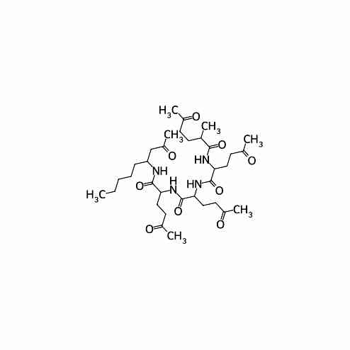 CCCCCC(CC(C)=O)NC(=O)C(CCC(C)=O)NC(=O)C(CCC(C)=O)NC(=O)C(CCC(C)=O)NC(=O)C(C)CCC(C)=O